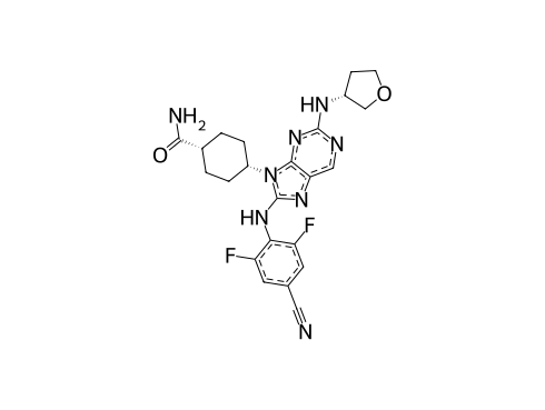 N#Cc1cc(F)c(Nc2nc3cnc(N[C@@H]4CCOC4)nc3n2[C@H]2CC[C@@H](C(N)=O)CC2)c(F)c1